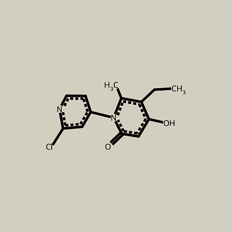 CCc1c(O)cc(=O)n(-c2ccnc(Cl)c2)c1C